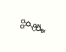 Clc1ccc(C2=CCc3cc(Br)cnc3O2)cc1Cl